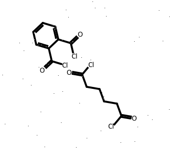 O=C(Cl)CCCCC(=O)Cl.O=C(Cl)c1ccccc1C(=O)Cl